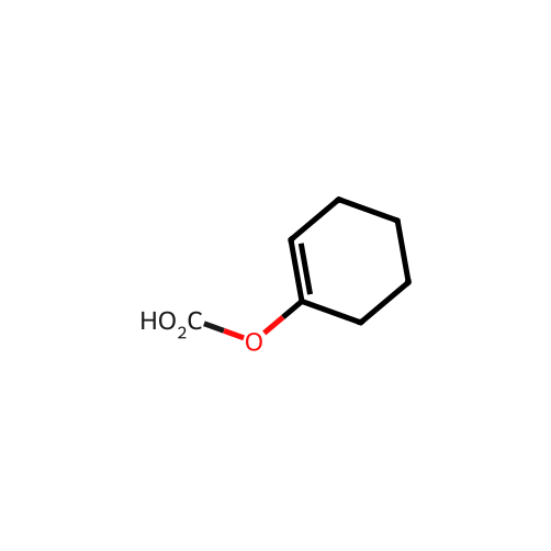 O=C(O)OC1=CCCCC1